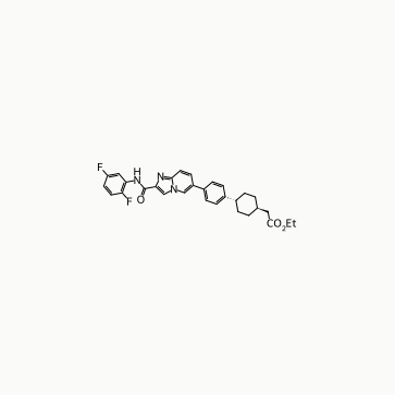 CCOC(=O)C[C@H]1CC[C@H](c2ccc(-c3ccc4nc(C(=O)Nc5cc(F)ccc5F)cn4c3)cc2)CC1